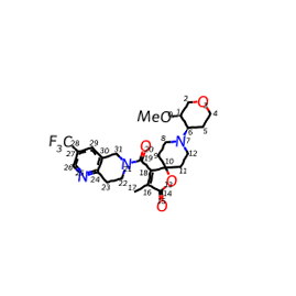 CO[C@H]1COCC[C@H]1N1CCC2(CC1)OC(=O)C(C)=C2C(=O)N1CCc2ncc(C(F)(F)F)cc2C1